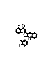 Cc1c(Oc2nc3ccccc3cc2-c2cc(=O)c3c(F)cccc3[nH]2)ccc(F)c1F